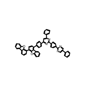 c1ccc(-c2cnc(-c3ccc(-c4nc(-c5ccccc5)cc(-c5ccc(-c6ccc(-c7cccc8c7oc7ccccc78)c7oc8ccccc8c67)cc5)n4)cc3)nc2)cc1